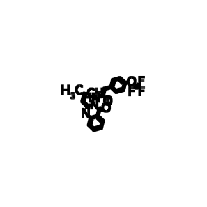 CC(C)Cc1nc2ccccc2c(=O)n1NC(=O)Cc1ccc(OC(F)(F)F)cc1